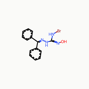 ON=C(NBr)NN=C(c1ccccc1)c1ccccc1